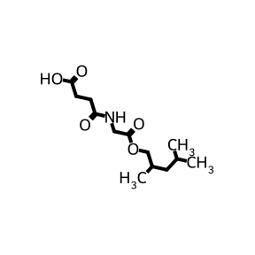 CC(C)CC(C)COC(=O)CNC(=O)CCC(=O)O